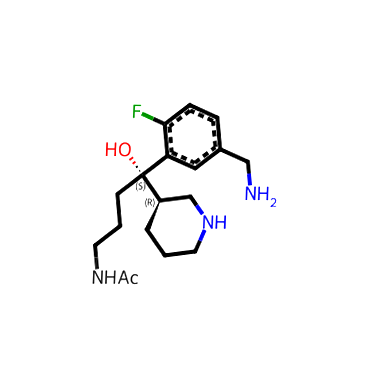 CC(=O)NCCC[C@@](O)(c1cc(CN)ccc1F)[C@@H]1CCCNC1